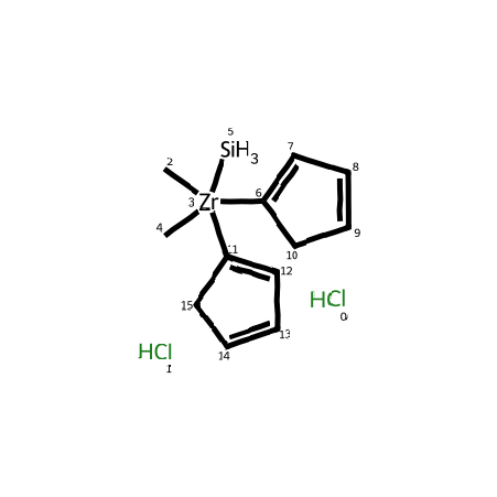 Cl.Cl.[CH3][Zr]([CH3])([SiH3])([C]1=CC=CC1)[C]1=CC=CC1